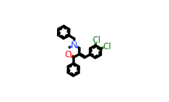 CN(C/C(=C\c1ccc(Cl)c(Cl)c1)C(=O)c1ccccc1)Cc1ccccc1